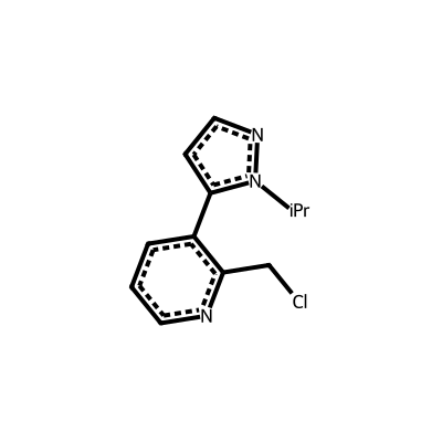 CC(C)n1nccc1-c1cccnc1CCl